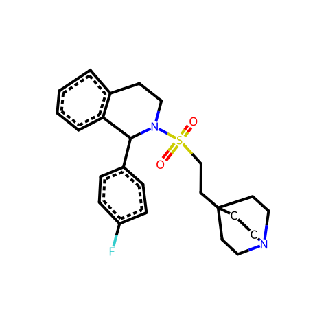 O=S(=O)(CCC12CCN(CC1)CC2)N1CCc2ccccc2C1c1ccc(F)cc1